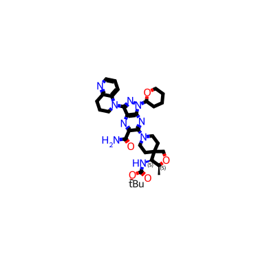 C[C@@H]1OCC2(CCN(c3nc4c(nc3C(N)=O)c(N3CCCc5ncccc53)nn4C3CCCCO3)CC2)[C@@H]1NC(=O)OC(C)(C)C